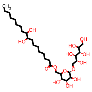 CCCCCCCCC(O)C(O)CCCCCCCC(=O)OCC1O[C@H](OC[C@@H](O)[C@@H](O)[C@H](O)C(O)CO)C(O)[C@@H](O)[C@@H]1O